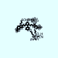 CC(C)N(C(C)C)P(OCCC#N)OCCCCOc1cccc(C2=C(C=CC3=Nc4c(cc(S(=O)(=O)[O-])c[n+]4CCCS(=O)(=O)O)C3(C)C)CCCC2=CC=C2N(CCCS(=O)(=O)O)c3ccc(S(=O)(=O)[O-])cc3C2(C)C)c1.CCCC[N+](CCCC)(CCCC)CCCC